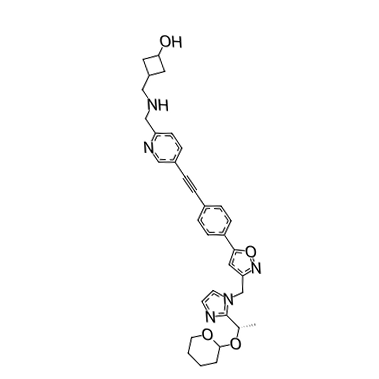 C[C@H](OC1CCCCO1)c1nccn1Cc1cc(-c2ccc(C#Cc3ccc(CNCC4CC(O)C4)nc3)cc2)on1